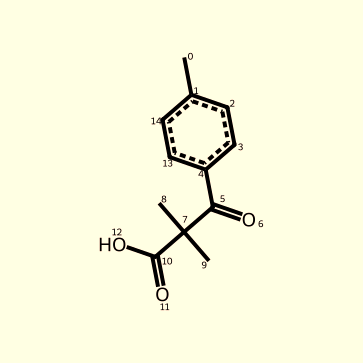 Cc1ccc(C(=O)C(C)(C)C(=O)O)cc1